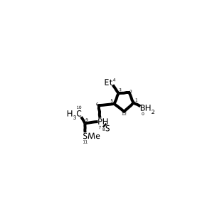 BC1CC(CC)C(C[PH](=S)C(C)SC)C1